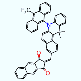 CC1(C)c2ccccc2N(c2c3ccccc3c(C(F)(F)F)c3ccccc23)c2ccc3cc(C=C4C(=O)c5cc6ccccc6cc5C4=O)ccc3c21